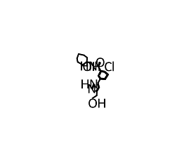 O=C(NCC1(O)CCCCCC1)c1cc(-c2cc(CCO)n[nH]2)ccc1Cl